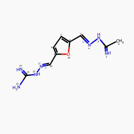 CC(=N)N/N=C/c1ccc(/C=N/NC(=N)N)o1